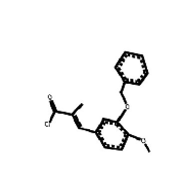 COc1ccc(/C=C(\C)C(=O)Cl)cc1OCc1ccccc1